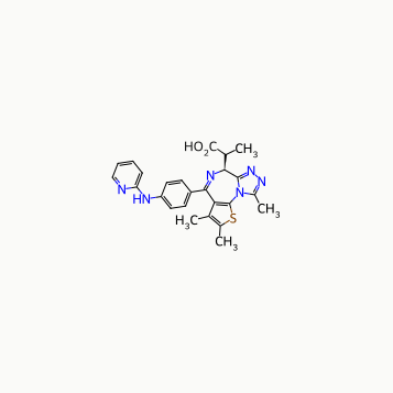 Cc1sc2c(c1C)C(c1ccc(Nc3ccccn3)cc1)=N[C@@H](C(C)C(=O)O)c1nnc(C)n1-2